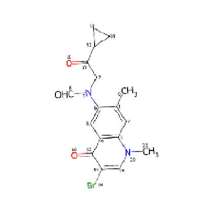 Cc1cc2c(cc1N(C=O)CC(=O)C1CC1)c(=O)c(Br)cn2C